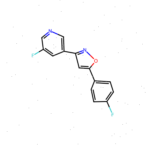 Fc1ccc(-c2cc(-c3cncc(F)c3)no2)cc1